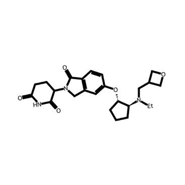 CCN(CC1COC1)[C@H]1CCC[C@@H]1Oc1ccc2c(c1)CN(C1CCC(=O)NC1=O)C2=O